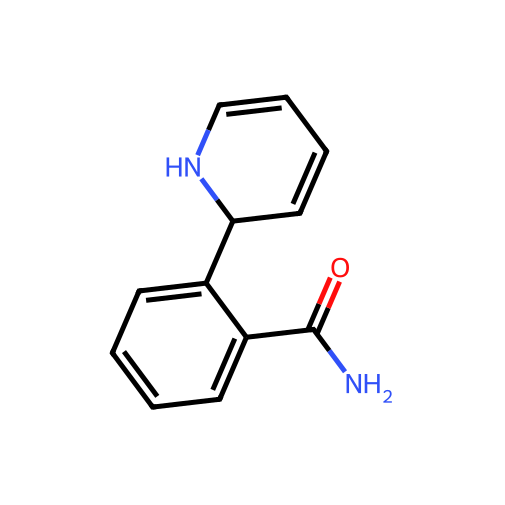 NC(=O)c1ccccc1C1C=CC=CN1